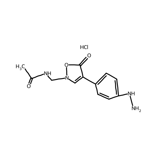 CC(=O)NCn1cc(-c2ccc(NN)cc2)c(=O)o1.Cl